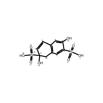 O=S(=O)(O)c1cc2c(cc1O)C=CC(O)(S(=O)(=O)O)C2